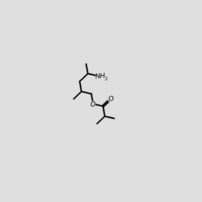 CC(N)CC(C)COC(=O)C(C)C